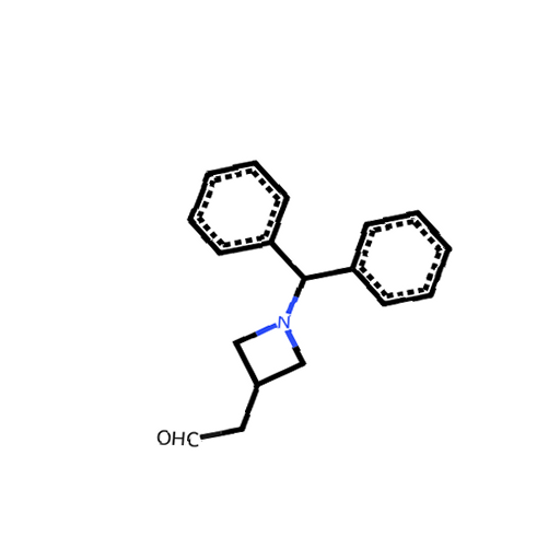 O=CCC1CN(C(c2ccccc2)c2ccccc2)C1